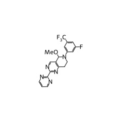 COC1c2cnc(-c3ncccn3)nc2CCN1c1cc(F)cc(C(F)(F)F)c1